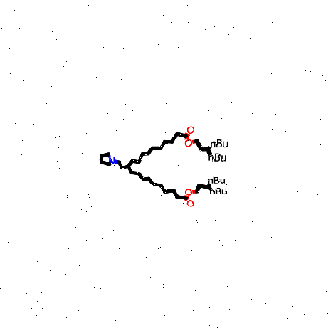 CCCCC(CCCC)CCOC(=O)CCCCCCCCCC(CCCCCCCCCC(=O)OCCC(CCCC)CCCC)CCN1CCCC1